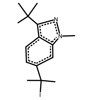 Cn1nc(C(C)(C)C)c2ccc(C(C)(C)I)cc21